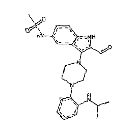 CC(C)Nc1cccnc1N1CCN(c2c(C=O)[nH]c3ccc(NS(C)(=O)=O)cc23)CC1